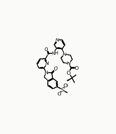 CC(C)(C)OC(=O)N1CCN(c2ccncc2NC(=O)c2cccc(N3Cc4ccc(S(C)(=O)=O)cc4C3=O)n2)CC1